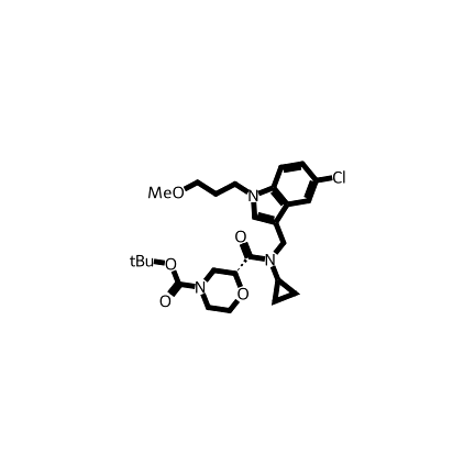 COCCCn1cc(CN(C(=O)[C@H]2CN(C(=O)OC(C)(C)C)CCO2)C2CC2)c2cc(Cl)ccc21